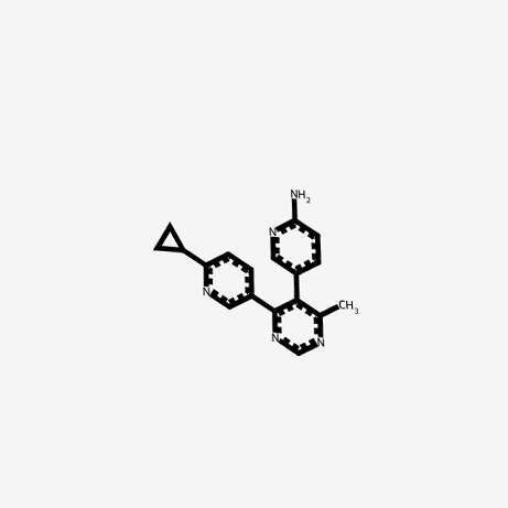 Cc1ncnc(-c2ccc(C3CC3)nc2)c1-c1ccc(N)nc1